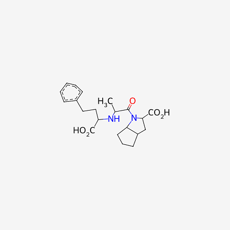 CC(NC(CCc1ccccc1)C(=O)O)C(=O)N1C(C(=O)O)CC2CCCC21